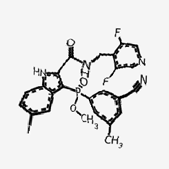 COP(=O)(c1cc(C)cc(C#N)c1)c1c(C(=O)NCc2c(F)cncc2F)[nH]c2ccc(I)cc12